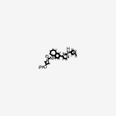 CC(C)OC1CN(C(=O)N[C@@H]2CCCCc3cc(-c4ccnc(Nc5cnn(C)c5)n4)ccc32)C1